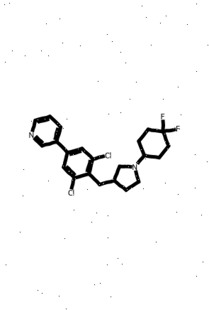 FC1(F)CCC(N2CCC(Cc3c(Cl)cc(-c4cccnc4)cc3Cl)C2)CC1